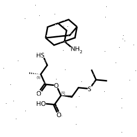 CC(C)SCC[C@H](OC(=O)[C@H](C)CS)C(=O)O.NC12CC3CC(CC(C3)C1)C2